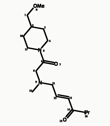 COCC1CCN(C(=O)CN(C)C/C=C/C(=O)C(C)C)CC1